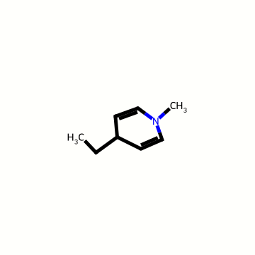 CCC1C=CN(C)C=C1